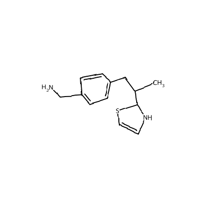 CC(Cc1ccc(CN)cc1)C1NC=CS1